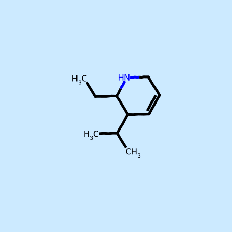 CCC1NCC=CC1C(C)C